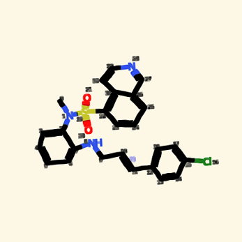 CN(c1ccccc1NC/C=C/c1ccc(Cl)cc1)S(=O)(=O)c1cccc2cnccc12